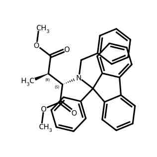 COC(=O)[C@H]([C@@H](C)C(=O)OC)N(Cc1ccccc1)C1(c2ccccc2)c2ccccc2-c2ccccc21